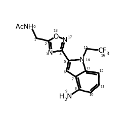 CC(=O)NCc1nc(-c2cc3c(N)cccc3n2CC(F)(F)F)no1